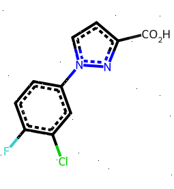 O=C(O)c1ccn(-c2ccc(F)c(Cl)c2)n1